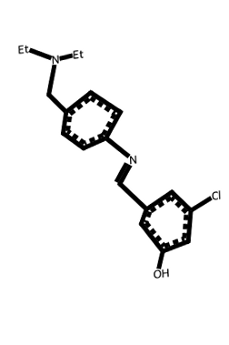 CCN(CC)Cc1ccc(N=Cc2cc(O)cc(Cl)c2)cc1